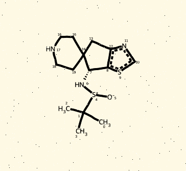 CC(C)(C)[S+]([O-])N[C@H]1c2scnc2CC12CCNCC2